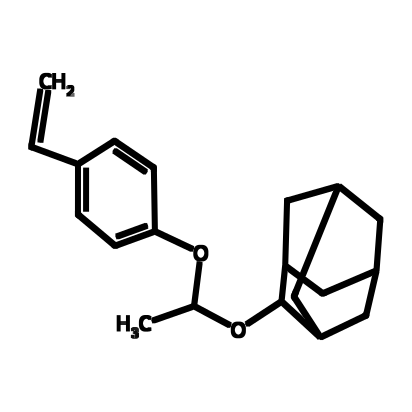 C=Cc1ccc(OC(C)OC2C3CC4CC(C3)CC2C4)cc1